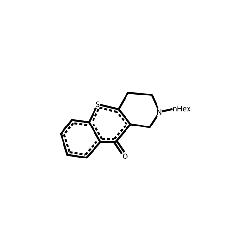 CCCCCCN1CCc2sc3ccccc3c(=O)c2C1